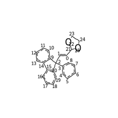 C(=CC1(c2ccccc2)c2ccccc2-c2ccccc21)C1OCCO1